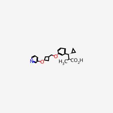 C[C@H](C(=O)O)[C@H](c1cccc(OCC2CC(Oc3cccnc3)C2)c1)C1CC1